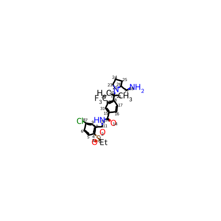 CCS(=O)(=O)c1ccc(Cl)cc1CNC(=O)c1ccc(C(C)(C)N2CCCC2CN)c(C(F)(F)F)c1